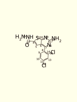 NNC(=O)c1cc2c(-c3ccc(Cl)cc3Cl)nc(N)nc2s1